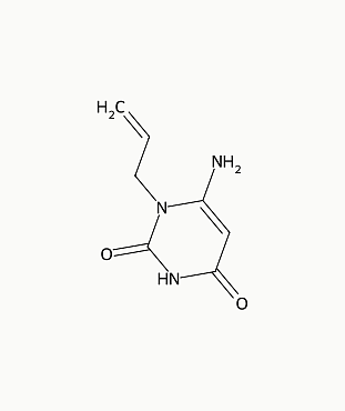 C=CCn1c(N)cc(=O)[nH]c1=O